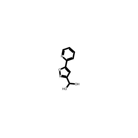 OC(O)c1cc(-c2ccccn2)on1